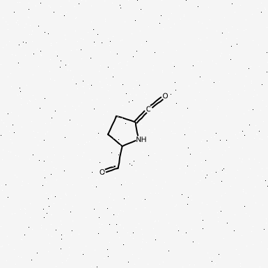 O=C=C1CCC(C=O)N1